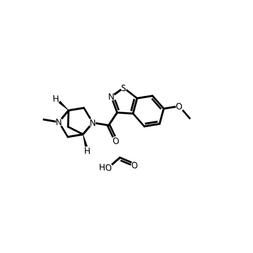 COc1ccc2c(C(=O)N3C[C@@H]4C[C@H]3CN4C)nsc2c1.O=CO